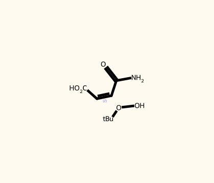 CC(C)(C)OO.NC(=O)/C=C\C(=O)O